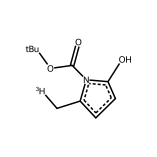 [3H]Cc1ccc(O)n1C(=O)OC(C)(C)C